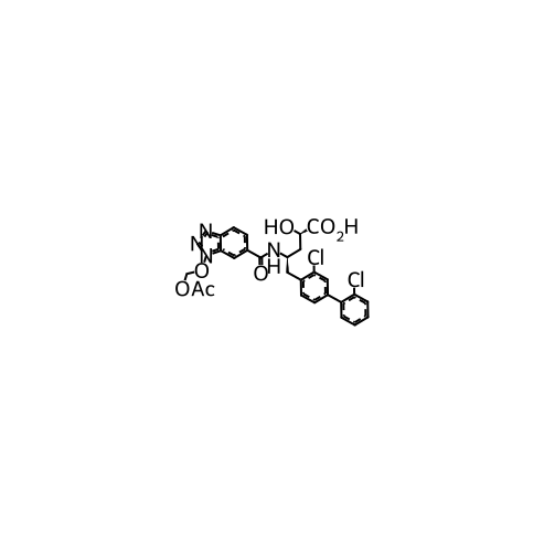 CC(=O)OCOn1nnc2ccc(C(=O)N[C@H](Cc3ccc(-c4ccccc4Cl)cc3Cl)C[C@@H](O)C(=O)O)cc21